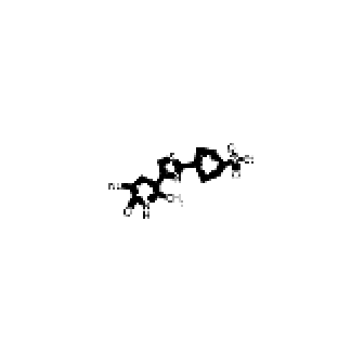 CCS(=O)(=O)c1ccc(-c2nc(-c3cc(C#N)c(=O)[nH]c3C)cs2)cc1